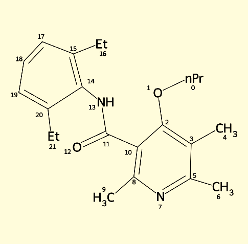 CCCOc1c(C)c(C)nc(C)c1C(=O)Nc1c(CC)cccc1CC